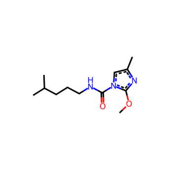 COc1nc(C)cn1C(=O)NCCCC(C)C